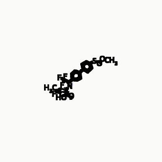 COOSc1ccc(-c2ccc(/C(=N/[C@@H](CC(C)(C)F)C(=O)O)C(F)(F)F)cc2)cc1